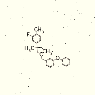 CCC(C)(COCc1cccc(Oc2ccccc2)c1)c1ccc(C)c(F)c1